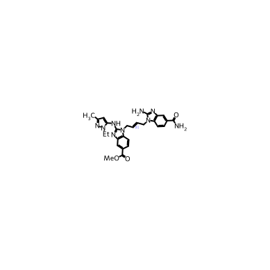 CCn1nc(C)cc1Nc1nc2cc(C(=O)OC)ccc2n1C/C=C/Cn1c(N)nc2cc(C(N)=O)ccc21